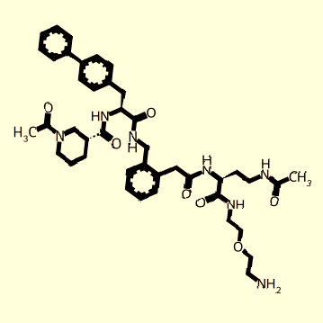 CC(=O)NCC[C@H](NC(=O)Cc1ccccc1CNC(=O)[C@H](Cc1ccc(-c2ccccc2)cc1)NC(=O)[C@@H]1CCCN(C(C)=O)C1)C(=O)NCCOCCN